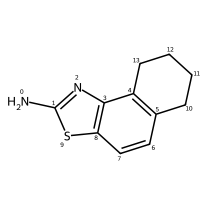 Nc1nc2c3c(ccc2s1)CCCC3